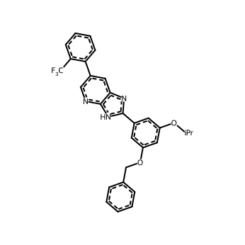 CC(C)Oc1cc(OCc2ccccc2)cc(-c2nc3cc(-c4ccccc4C(F)(F)F)cnc3[nH]2)c1